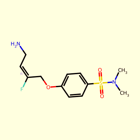 CN(C)S(=O)(=O)c1ccc(OC/C(F)=C\CN)cc1